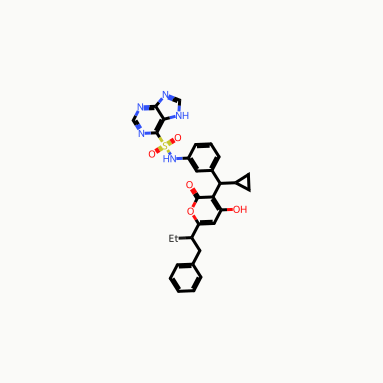 CCC(Cc1ccccc1)c1cc(O)c(C(c2cccc(NS(=O)(=O)c3ncnc4nc[nH]c34)c2)C2CC2)c(=O)o1